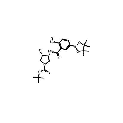 CNc1ccc(B2OC(C)(C)C(C)(C)O2)cc1C(=O)N[C@@H]1CN(C(=O)OC(C)(C)C)C[C@H]1F